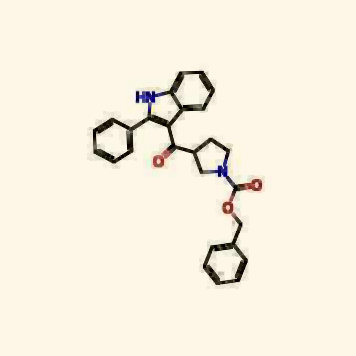 O=C(c1c(-c2ccccc2)[nH]c2ccccc12)C1CCN(C(=O)OCc2ccccc2)C1